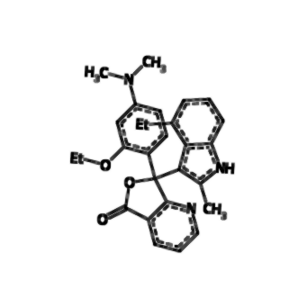 CCOc1cc(N(C)C)ccc1C1(c2c(C)[nH]c3cccc(CC)c23)OC(=O)c2cccnc21